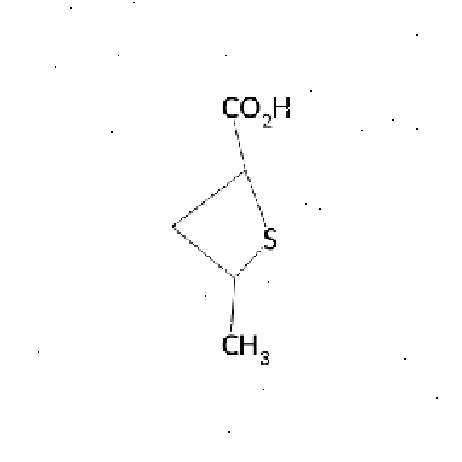 CC1CC(C(=O)O)S1